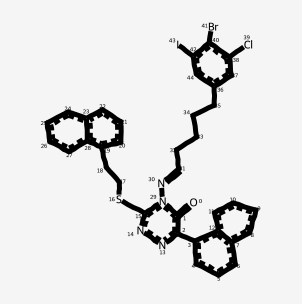 O=c1c(-c2cccc3ccccc23)nnc(SCCc2cccc3ccccc23)n1N=CCCCCc1cc(Cl)c(Br)c(I)c1